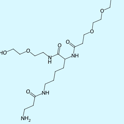 NCCOCCOCCC(=O)NC(CCCCNC(=O)CCN)C(=O)NCCOCCO